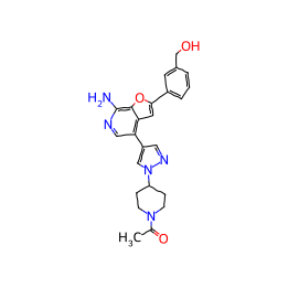 CC(=O)N1CCC(n2cc(-c3cnc(N)c4oc(-c5cccc(CO)c5)cc34)cn2)CC1